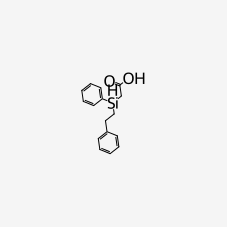 O=C(O)C[SiH](CCc1ccccc1)c1ccccc1